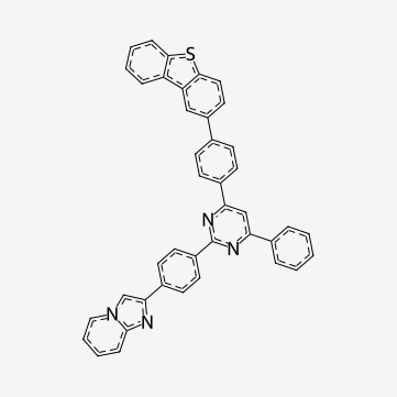 c1ccc(-c2cc(-c3ccc(-c4ccc5sc6ccccc6c5c4)cc3)nc(-c3ccc(-c4cn5ccccc5n4)cc3)n2)cc1